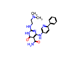 CN(C)CCNc1nc(Nc2ccc(-c3ccccc3)nc2)c(C(N)=O)c(=O)[nH]1